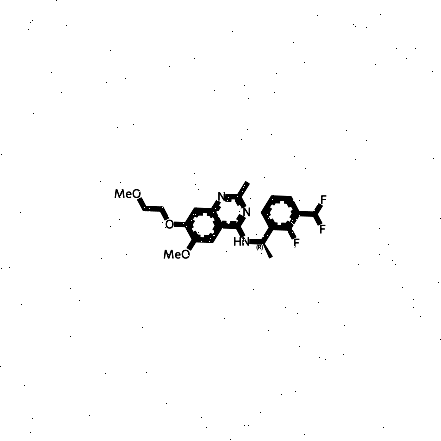 COCCOc1cc2nc(C)nc(N[C@H](C)c3cccc(C(F)F)c3F)c2cc1OC